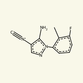 [C-]#[N+]c1cnn(-c2cccc(F)c2C)c1N